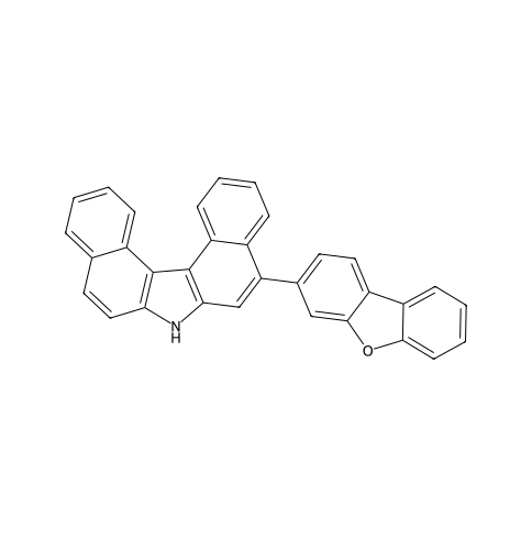 c1ccc2c(c1)ccc1[nH]c3cc(-c4ccc5c(c4)oc4ccccc45)c4ccccc4c3c12